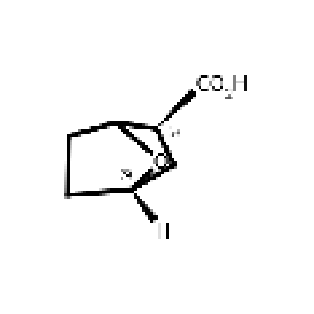 O=C(O)[C@H]1C[C@@H]2CCC1O2